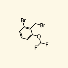 FC(F)Oc1cccc(Br)c1CBr